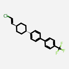 FC(F)(F)c1ccc(-c2ccc([C@H]3CC[C@H](/C=C/Cl)CC3)cc2)cc1